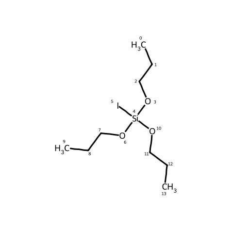 CCCO[Si](I)(OCCC)OCCC